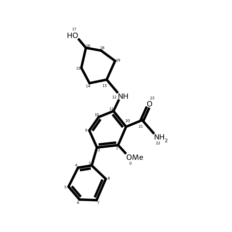 COc1c(-c2ccccc2)ccc(NC2CCC(O)CC2)c1C(N)=O